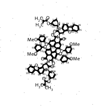 C=C(C)C(=O)Oc1ccnc(NC(=O)C(Cc2cccc3c2oc2ccccc23)N2C(=O)c3cc(Oc4cccc(OC)c4)c4c5c(Oc6cccc(OC)c6)cc6c7c(cc(Oc8cccc(OC)c8)c(c8c(Oc9cccc(OC)c9)cc(c3c48)C2=O)c75)C(=O)N(C(Cc2cccc3c2oc2ccccc23)C(=O)Nc2cc(OC(=O)C(=C)C)ccn2)C6=O)c1